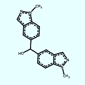 Cn1ncc2cc(C(O)c3ccc4c(cnn4C)c3)ccc21